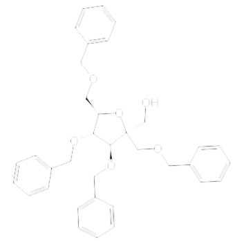 OC[C@@]1(COCc2ccccc2)O[C@H](COCc2ccccc2)[C@@H](OCc2ccccc2)[C@@H]1OCc1ccccc1